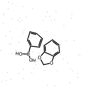 OB(O)c1ccccc1.c1ccc2c(c1)OCO2